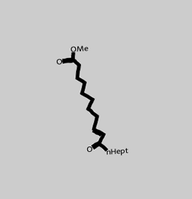 CCCCCCCC(=O)C=CCCCCCCCC(=O)OC